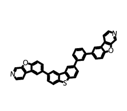 c1cc(-c2ccc3oc4cnccc4c3c2)cc(-c2ccc3sc4ccc(-c5ccc6oc7cnccc7c6c5)cc4c3c2)c1